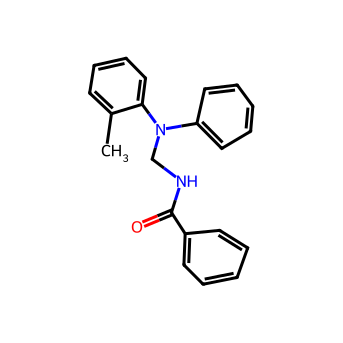 Cc1ccccc1N(CNC(=O)c1ccccc1)c1ccccc1